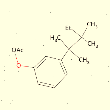 CCC(C)(C)C(C)(C)c1cccc(OOC(C)=O)c1